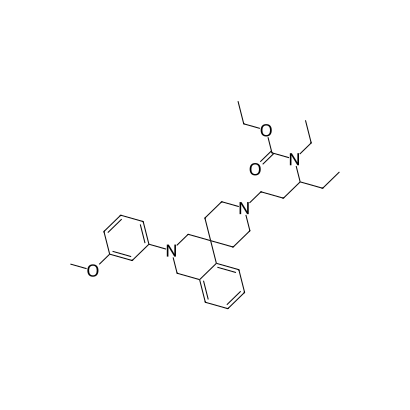 CCOC(=O)N(CC)C(CC)CCN1CCC2(CC1)CN(c1cccc(OC)c1)Cc1ccccc12